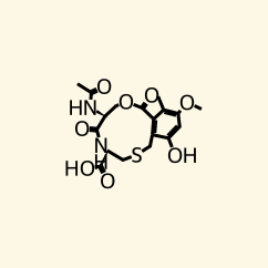 COc1cc(O)c2c(c1C)C(=O)OC[C@H](NC(C)=O)C(=O)N[C@H](C(=O)O)CSC2